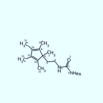 CCCCCCC(=O)NCCC1(C)C(C)=C(C)C(C)=C1C